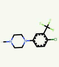 [CH2]N1CCN(c2ccc(Cl)c(C(F)(F)F)c2)CC1